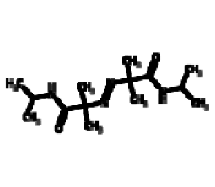 CC(C)NC(=O)C(C)(C)N=NC(C)(C)C(=O)NC(C)C